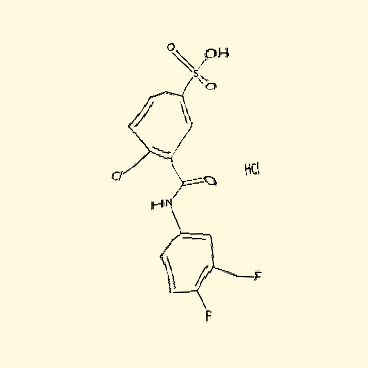 Cl.O=C(Nc1ccc(F)c(F)c1)c1cc(S(=O)(=O)O)ccc1Cl